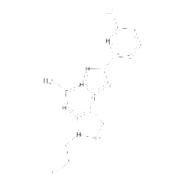 N#Cc1cccc(-c2nc3c4c(nc(N)n3n2)N(CCCl)NC4)n1